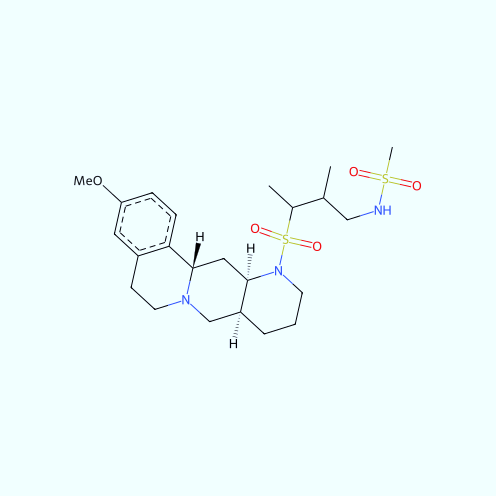 COc1ccc2c(c1)CCN1C[C@@H]3CCCN(S(=O)(=O)C(C)C(C)CNS(C)(=O)=O)[C@@H]3C[C@@H]21